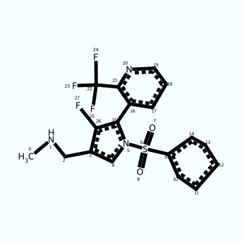 CNCc1cn(S(=O)(=O)c2ccccc2)c(-c2cccnc2C(F)(F)F)c1F